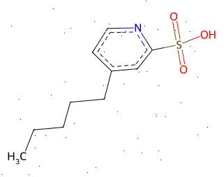 CCCCCc1ccnc(S(=O)(=O)O)c1